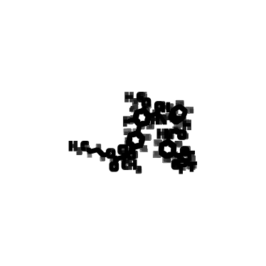 CCCCOC(=O)C(C)(C)Oc1ccc(-c2cc(C(=O)N[C@@H]3[C@H]4CC[C@H](C4)[C@@H]3C(=O)Nc3cccc(S(=O)(=O)C(F)(F)F)c3)c(OC)cc2F)cc1